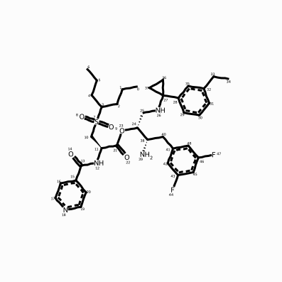 CCCC(CCC)S(=O)(=O)C[C@H](NC(=O)c1ccncc1)C(=O)O[C@H](CNC1(c2cccc(CC)c2)CC1)[C@@H](N)Cc1cc(F)cc(F)c1